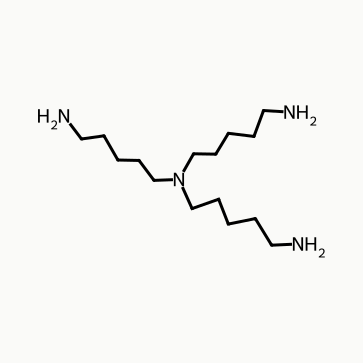 NCCCCCN(CCCCCN)CCCCCN